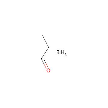 CCC=O.[BiH3]